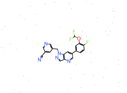 N#Cc1cncc(Cn2ncc3ncc(-c4ccc(F)c(OC(F)F)c4)cc32)c1